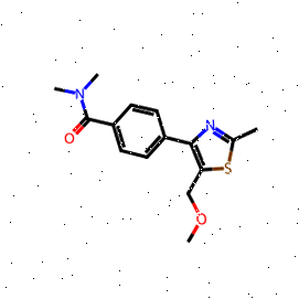 COCc1sc(C)nc1-c1ccc(C(=O)N(C)C)cc1